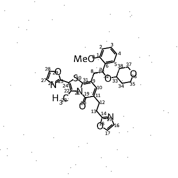 COc1ccccc1[C@H](Cc1cc(CCc2ncco2)c(=O)n2c(C)c(-c3ncco3)sc12)OC1CCOCC1